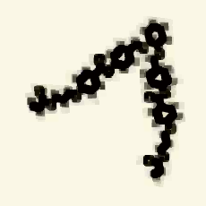 C=CC(=O)OCCCOc1ccc(C(=O)Oc2ccc(CO[C@@H]3CCCC[C@H]3OCc3ccc(OC(=O)c4ccc(OCCCOC(=O)C=C)cc4)cc3)cc2)cc1